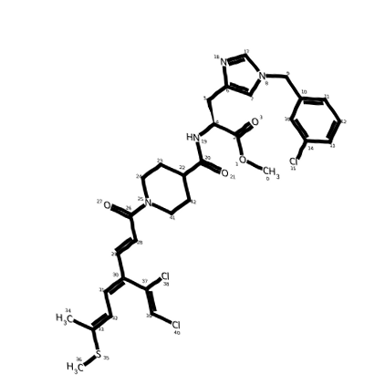 COC(=O)[C@H](Cc1cn(Cc2cccc(Cl)c2)cn1)NC(=O)C1CCN(C(=O)/C=C/C(=C/C=C(\C)SC)C(/Cl)=C/Cl)CC1